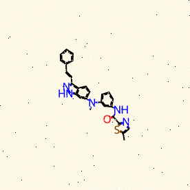 Cc1cnc(C(=O)Nc2cccc(N(C)c3ccc4c(C=Cc5ccccc5)n[nH]c4c3)c2)s1